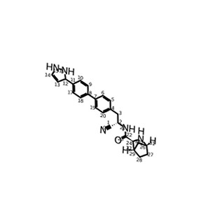 N#C[C@H](Cc1ccc(-c2ccc(C3C=CNN3)cc2)cc1)NC(=O)[C@H]1N[C@@H]2CC[C@H]1C2